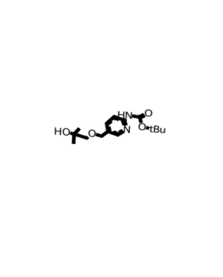 CC(C)(O)COCc1ccc(NC(=O)OC(C)(C)C)nc1